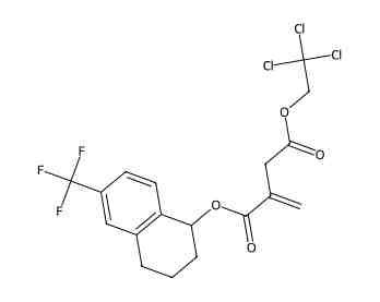 C=C(CC(=O)OCC(Cl)(Cl)Cl)C(=O)OC1CCCc2cc(C(F)(F)F)ccc21